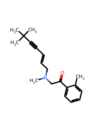 Cc1ccccc1C(=O)CN(C)CC=CC#CC(C)(C)C